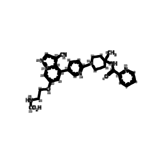 CC1(NC(=O)c2ccccn2)CCN(c2ccc(-c3cc(OCCNC(=O)O)cn4ncc(C#N)c34)cn2)CC1